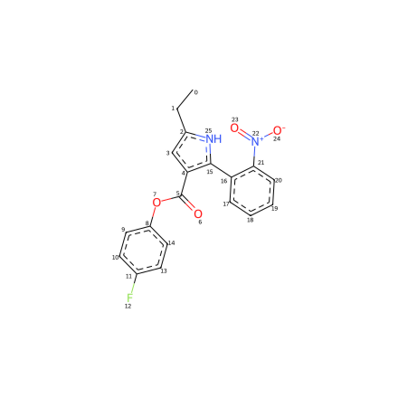 CCc1cc(C(=O)Oc2ccc(F)cc2)c(-c2ccccc2[N+](=O)[O-])[nH]1